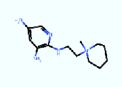 C[N+]1(CCNc2ncc(N)cc2N)CCCCC1